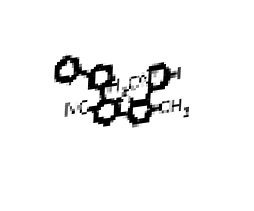 Cc1ccc2c(sc3c(-c4cccc(-c5ccccc5)c4)c(C#N)ccc32)c1-c1cc(F)cc[n+]1C